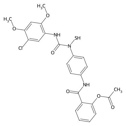 COc1cc(OC)c(NC(=O)N(S)c2ccc(NC(=O)c3ccccc3OC(C)=O)cc2)cc1Cl